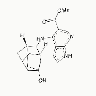 COC(=O)c1cnc2[nH]ccc2c1NC1[C@@H]2CC3C[C@H]1CC(O)(C3)C2